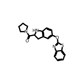 O=C(C1Cc2cc(Oc3nc4ccccc4s3)ccc2N1)N1CCCC1